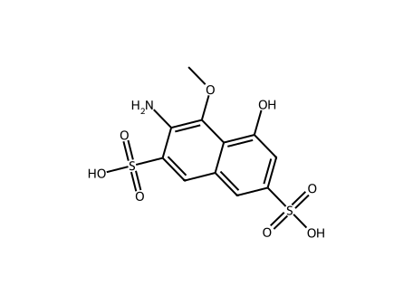 COc1c(N)c(S(=O)(=O)O)cc2cc(S(=O)(=O)O)cc(O)c12